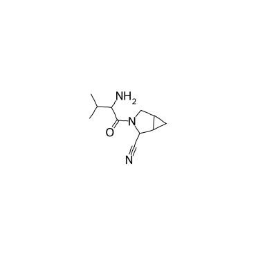 CC(C)C(N)C(=O)N1CC2CC2C1C#N